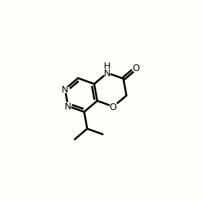 CC(C)c1nncc2c1OCC(=O)N2